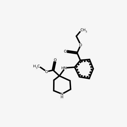 CCOC(=O)c1ccccc1NC1(C(=O)OC)CCNCC1